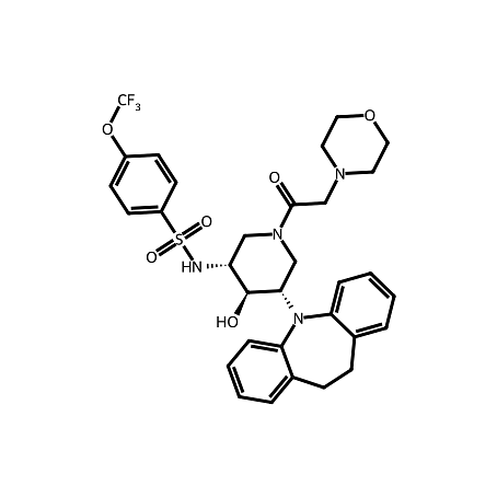 O=C(CN1CCOCC1)N1C[C@@H](NS(=O)(=O)c2ccc(OC(F)(F)F)cc2)[C@H](O)[C@@H](N2c3ccccc3CCc3ccccc32)C1